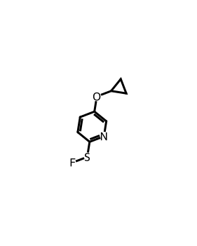 FSc1ccc(OC2CC2)cn1